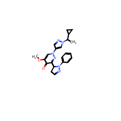 COc1cn(-c2cnn(C(C)C3CC3)c2)nc(C2CC=NN2c2ccccc2)c1=O